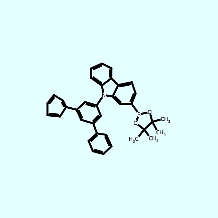 CC1(C)OB(c2ccc3c4ccccc4n(-c4cc(-c5ccccc5)cc(-c5ccccc5)c4)c3c2)OC1(C)C